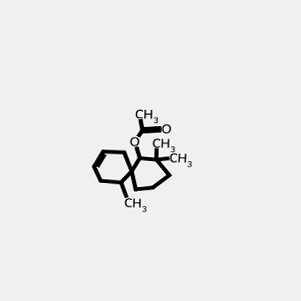 CC(=O)OC1C(C)(C)CCCC12CC=CCC2C